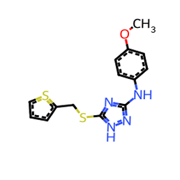 COc1ccc(Nc2n[nH]c(SCc3cccs3)n2)cc1